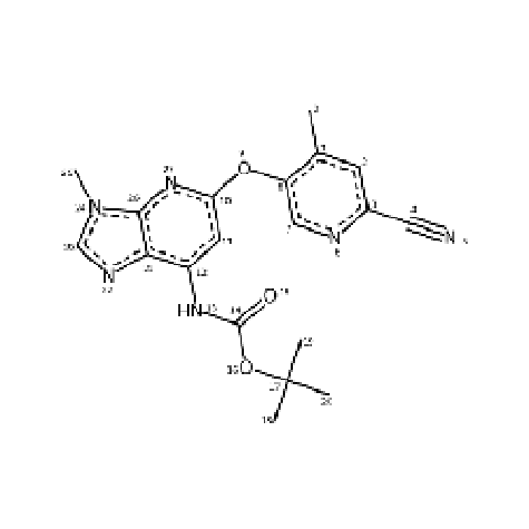 Cc1cc(C#N)ncc1Oc1cc(NC(=O)OC(C)(C)C)c2ncn(C)c2n1